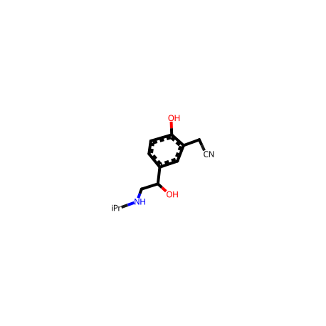 CC(C)NCC(O)c1ccc(O)c(CC#N)c1